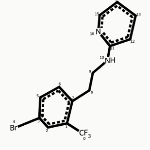 FC(F)(F)c1cc(Br)ccc1CCNc1ccccn1